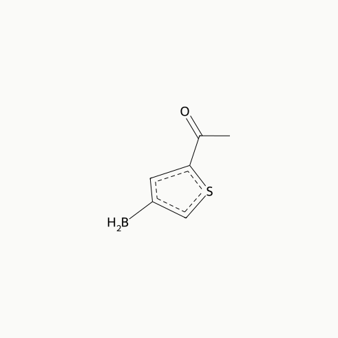 Bc1csc(C(C)=O)c1